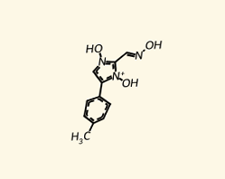 Cc1ccc(-c2cn(O)c(/C=N/O)[n+]2O)cc1